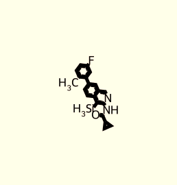 Cc1ccc(F)cc1-c1ccc2c([SiH3])c(NC(=O)C3CC3)ncc2c1